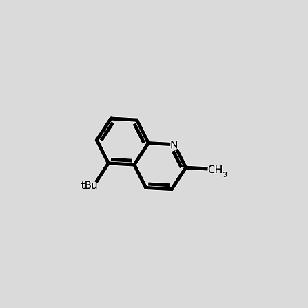 Cc1ccc2c(C(C)(C)C)cccc2n1